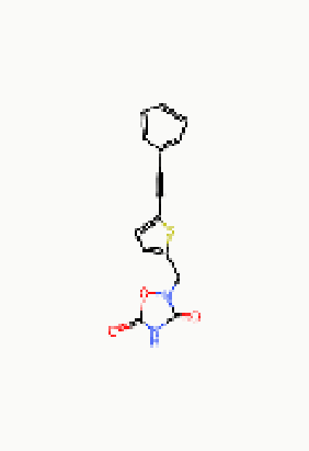 O=c1[nH]c(=O)n(Cc2ccc(C#Cc3ccccc3)s2)o1